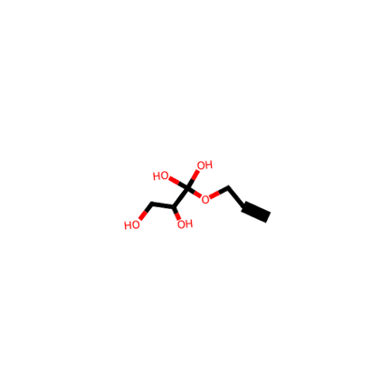 C#CCOC(O)(O)C(O)CO